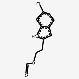 O=COCCc1cc2ccc(Cl)cc2[nH]1